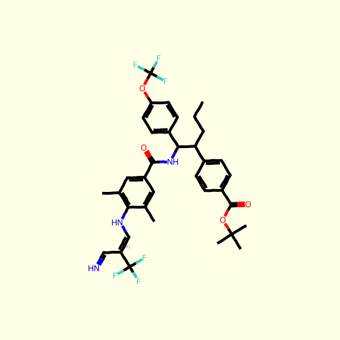 CCCC(c1ccc(C(=O)OC(C)(C)C)cc1)C(NC(=O)c1cc(C)c(N/C=C(\C=N)C(F)(F)F)c(C)c1)c1ccc(OC(F)(F)F)cc1